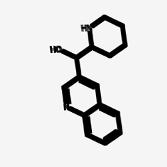 OC(c1cnc2ccccc2c1)C1CCCCN1